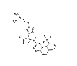 CN(C)CCCn1cnc(-c2c(Cl)csc2NC(=O)Cn2c(=O)ccc3cccc(C(F)(F)F)c32)n1